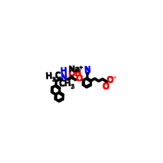 CC(C)(Cc1ccc2ccccc2c1)NC[C@@H](O)COc1cccc(CCCC(=O)[O-])c1C#N.[Na+]